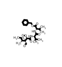 CC[C@H](C)[C@H](C=O)[C@@H](OC)C(=O)N[C@H](C(=O)N[C@H](C(=O)OCc1ccccc1)C(C)C)C(C)C